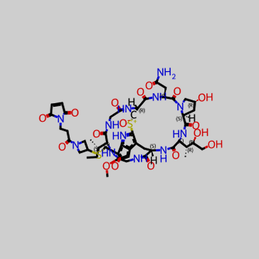 CC[C@H](C)[C@@H]1NC(=O)CNC(=O)[C@@H]2Cc3c([nH]c4c(CSC5CN(C(=O)CCN6C(=O)C=CC6=O)C5)c(OC)ccc34)[S+]([O-])C[C@H](NC(=O)CNC1=O)C(=O)N[C@@H](CC(N)=O)C(=O)N1C[C@H](O)C[C@H]1C(=O)N[C@@H]([C@@H](C)[C@@H](O)CO)C(=O)N2